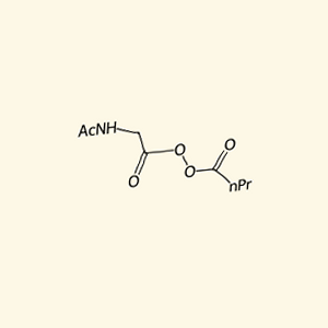 CCCC(=O)OOC(=O)CNC(C)=O